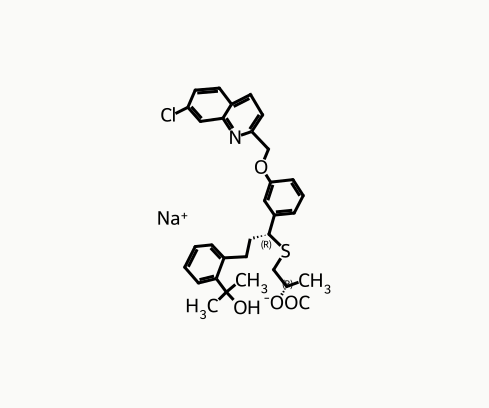 C[C@@H](CS[C@H](CCc1ccccc1C(C)(C)O)c1cccc(OCc2ccc3ccc(Cl)cc3n2)c1)C(=O)[O-].[Na+]